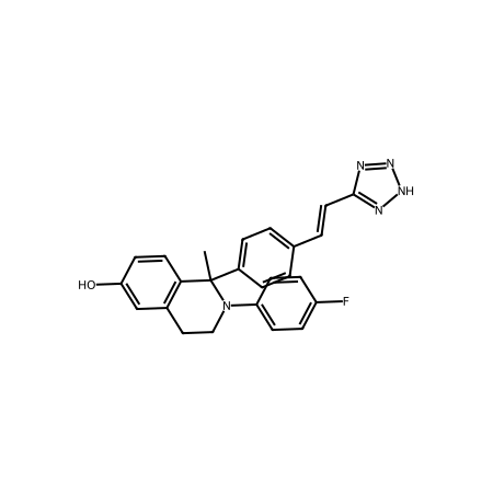 CC1(c2ccc(/C=C/c3nn[nH]n3)cc2)c2ccc(O)cc2CCN1c1ccc(F)cc1